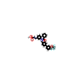 COC(=O)/C=C/c1cccc(N(Cc2ccc(-c3cccc(OC(F)(F)F)c3)cc2)C(=O)C2CCCCC2)c1